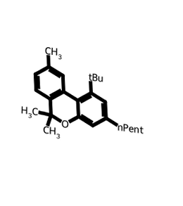 CCCCCc1cc2c(c(C(C)(C)C)c1)-c1cc(C)ccc1C(C)(C)O2